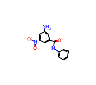 Nc1cc(C(=O)Nc2ccccc2)cc([N+](=O)[O-])c1